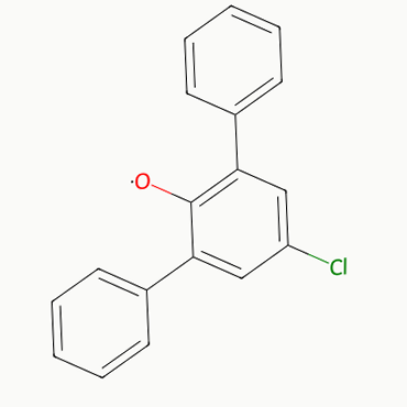 [O]c1c(-c2ccccc2)cc(Cl)cc1-c1ccccc1